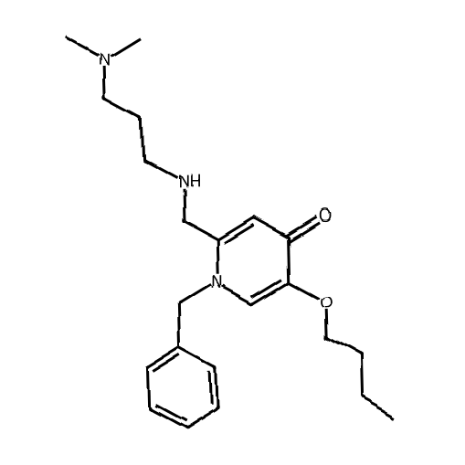 CCCCOc1cn(Cc2ccccc2)c(CNCCCN(C)C)cc1=O